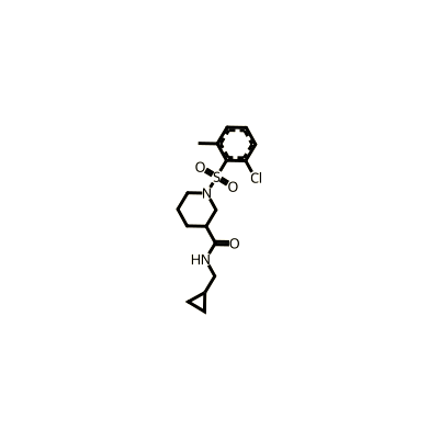 Cc1cccc(Cl)c1S(=O)(=O)N1CCCC(C(=O)NCC2CC2)C1